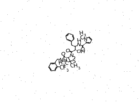 Cn1cccc1C(=O)NC(Cc1ccccc1)C(O)C(=O)N1CSC(C)(C)C1C(=O)NCc1ccccc1C(F)(F)F